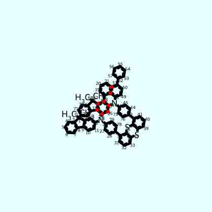 CC1(C)c2ccccc2-c2ccc(N(c3ccc(-c4ccccc4)cc3)c3ccc(-c4cccc5c4Sc4c(cccc4-c4ccc(N(c6ccc(-c7ccccc7)cc6)c6ccc7c(c6)C(C)(C)c6ccccc6-7)cc4)S5)cc3)cc21